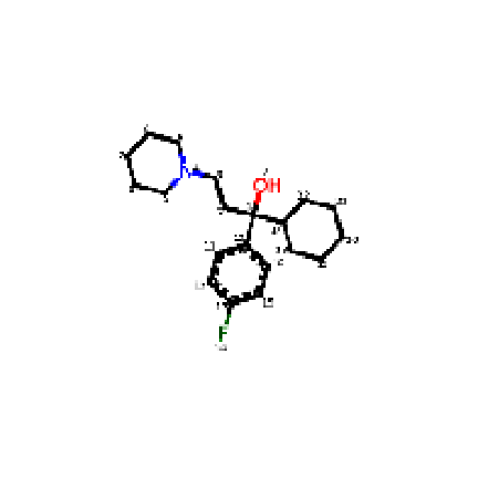 OC(CCN1CCCCC1)(c1ccc(F)cc1)C1CCCCC1